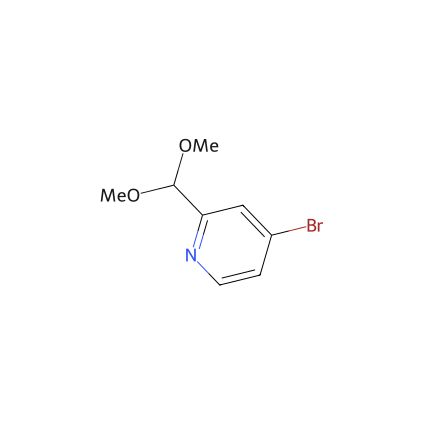 COC(OC)c1cc(Br)ccn1